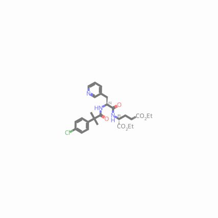 CCOC(=O)CC[C@@H](NC(=O)[C@H](Cc1cccnc1)NC(=O)C(C)(C)c1ccc(Cl)cc1)C(=O)OCC